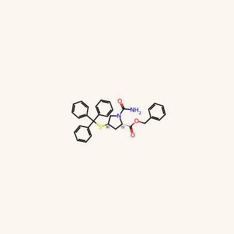 NC(=O)N1C[C@H](SC(c2ccccc2)(c2ccccc2)c2ccccc2)C[C@H]1C(=O)OCc1ccccc1